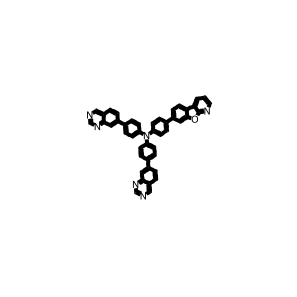 c1cnc2oc3cc(-c4ccc(N(c5ccc(-c6ccc7cncnc7c6)cc5)c5ccc(-c6ccc7cncnc7c6)cc5)cc4)ccc3c2c1